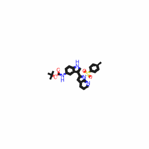 Cc1ccc(S(=O)(=O)n2c(-c3c[nH]c4ccc(NC(=O)OC(C)(C)C)cc34)cc3cccnc32)cc1